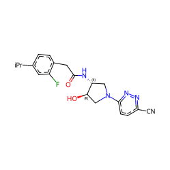 CC(C)c1ccc(CC(=O)N[C@@H]2CN(c3ccc(C#N)nn3)C[C@H]2O)c(F)c1